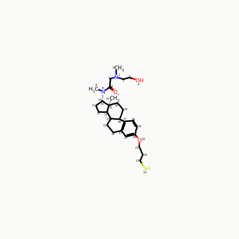 CN(CCO)CC(=O)N(C)[C@H]1CCC2C3CCc4cc(OCCCS)ccc4C3CC[C@@]21C